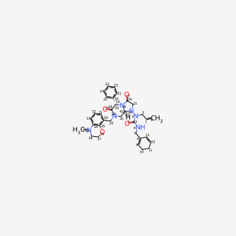 C=CCN(C(=O)NCC1=CCCC=C1)N1CC(=O)N2[C@@H](c3ccccc3)C(=O)N(Cc3cccc4c3OCCN4C)C[C@@H]21